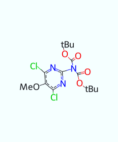 COc1c(Cl)nc(N(C(=O)OC(C)(C)C)C(=O)OC(C)(C)C)nc1Cl